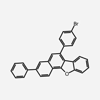 Brc1ccc(-c2cc3cc(-c4ccccc4)ccc3c3oc4ccccc4c23)cc1